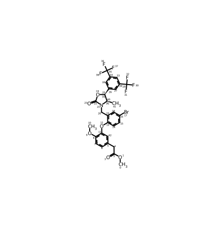 COC(=O)Cc1ccc(OC)c(Oc2ccc(Br)cc2CN2C(=O)O[C@@H](c3cc(C(F)(F)F)cc(C(F)(F)F)c3)[C@H]2C)c1